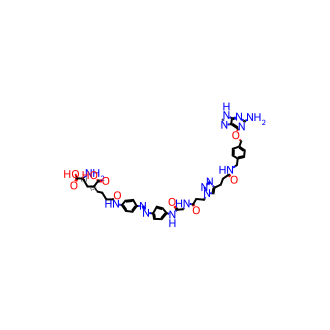 Nc1nc(OCc2ccc(CNC(=O)CCc3cn(CCC(=O)NCC(=O)Nc4ccc(N=Nc5ccc(NC(=O)CCC[C@@H](C[C@H](N)C(=O)O)C(=O)O)cc5)cc4)nn3)cc2)c2nc[nH]c2n1